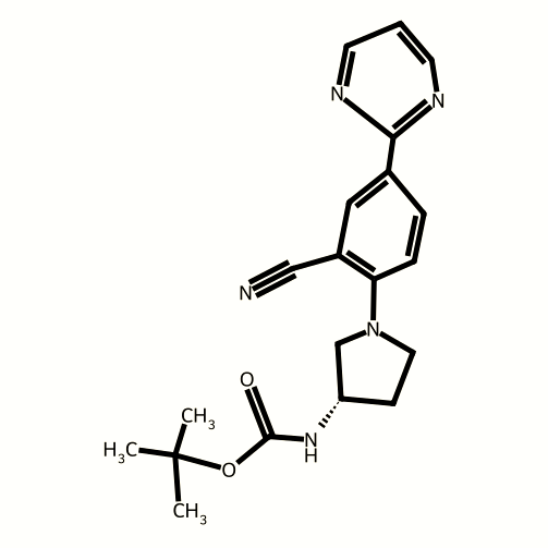 CC(C)(C)OC(=O)N[C@H]1CCN(c2ccc(-c3ncccn3)cc2C#N)C1